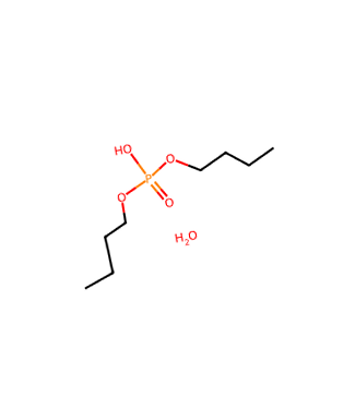 CCCCOP(=O)(O)OCCCC.O